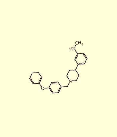 CNc1cccc(C2CCN(Cc3ccc(OC4=CCCC=C4)cc3)CC2)c1